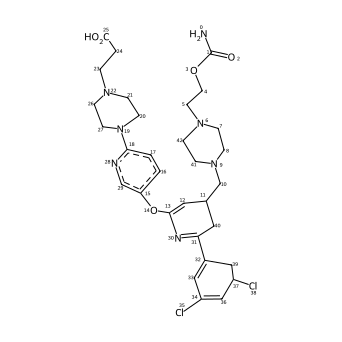 NC(=O)OCCN1CCN(CC2C=C(Oc3ccc(N4CCN(CCC(=O)O)CC4)nc3)N=C(C3=CC(Cl)=CC(Cl)C3)C2)CC1